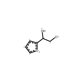 OC(CCl)c1ccco1